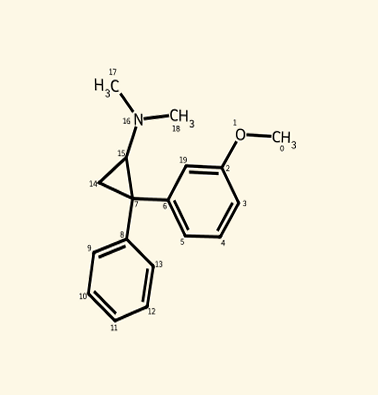 COc1cccc(C2(c3ccccc3)CC2N(C)C)c1